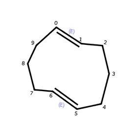 C1=C/CCC/C=C/CCC/1